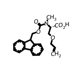 C=CCOC[C@@H](C(=O)O)N(C)C(=O)OCC1c2ccccc2-c2ccccc21